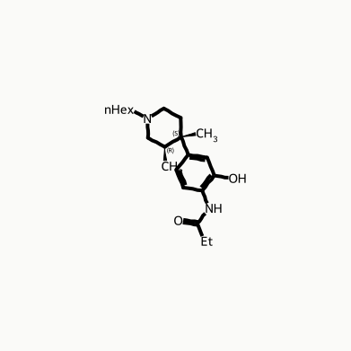 CCCCCCN1CC[C@](C)(c2ccc(NC(=O)CC)c(O)c2)[C@@H](C)C1